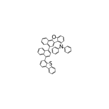 c1ccc(N(c2ccccc2)c2cccc3oc4c5ccccc5c(-c5ccc(-c6cccc7c6sc6ccccc67)c6ccccc56)cc4c23)cc1